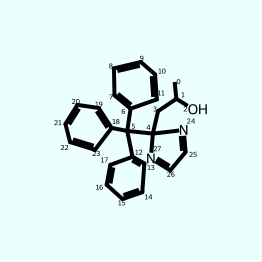 CC(O)CC1(C(c2ccccc2)(c2ccccc2)c2ccccc2)N=CC=N1